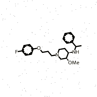 CO[C@H]1CN(CCCOc2ccc(F)cc2)CC[C@H]1NC(C)c1ccccc1